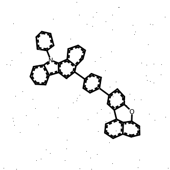 c1ccc(-n2c3ccccc3c3cc(-c4ccc(-c5ccc6c(c5)-c5cccc7cccc(c57)O6)cc4)c4ccccc4c32)cc1